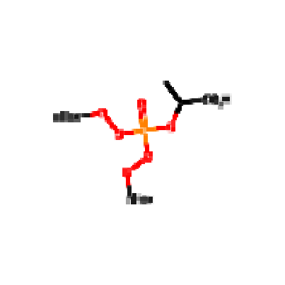 CCCCCCOOP(=O)(OOCCCCCC)OC(C)C(=O)O